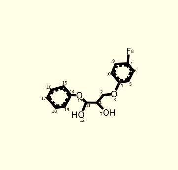 OC(COc1ccc(F)cc1)C(O)Oc1ccccc1